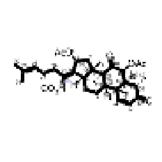 CC(=O)O[C@H]1C[C@@]2(C)[C@@H](CC[C@H]3[C@@]4(C)C=CC(=O)[C@@H](C)[C@@H]4[C@H](OC(C)=O)C(=O)[C@@]32C)/C1=C(/CCC=C(C)C)C(=O)O